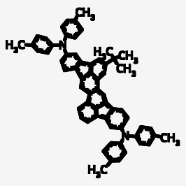 Cc1ccc(N(c2ccc(C)cc2)c2ccc3c(c2)c2cccc4c5cc6c7ccc(N(c8ccc(C)cc8)c8ccc(C)cc8)cc7c7cc(C(C)(C)C)cc(c5cc3c24)c76)cc1